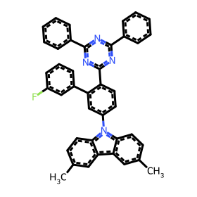 Cc1ccc2c(c1)c1cc(C)ccc1n2-c1ccc(-c2nc(-c3ccccc3)nc(-c3ccccc3)n2)c(-c2cccc(F)c2)c1